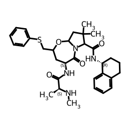 CN[C@@H](C)C(=O)N[C@H]1CC(CSc2ccccc2)OC2CC(C)(C)C(C(=O)N[C@@H]3CCCc4ccccc43)N2C1=O